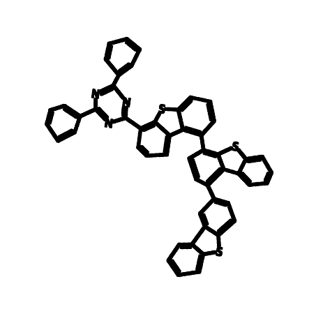 c1ccc(-c2nc(-c3ccccc3)nc(-c3cccc4c3sc3cccc(-c5ccc(-c6ccc7sc8ccccc8c7c6)c6c5sc5ccccc56)c34)n2)cc1